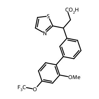 COc1cc(OC(F)(F)F)ccc1-c1cccc(C(CC(=O)O)c2nccs2)c1